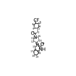 O=C(Cc1ccc(C(F)(F)F)cc1)N1CCC(N2Cc3ccccc3NC2=O)CC1